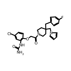 NC(=O)Nc1cc(Cl)ccc1OCC(=O)N1CCC(Cc2ccc(F)cc2)(Cn2cccc2)CC1